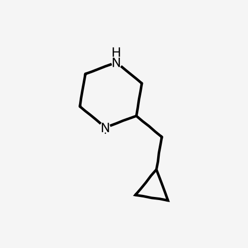 C1CNCC(CC2CC2)[N]1